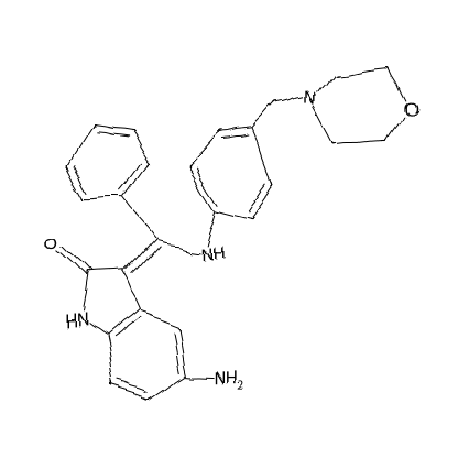 Nc1ccc2c(c1)C(=C(Nc1ccc(CN3CCOCC3)cc1)c1ccccc1)C(=O)N2